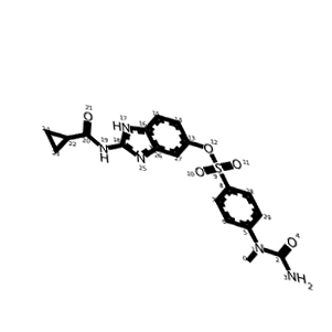 CN(C(N)=O)c1ccc(S(=O)(=O)Oc2ccc3[nH]c(NC(=O)C4CC4)nc3c2)cc1